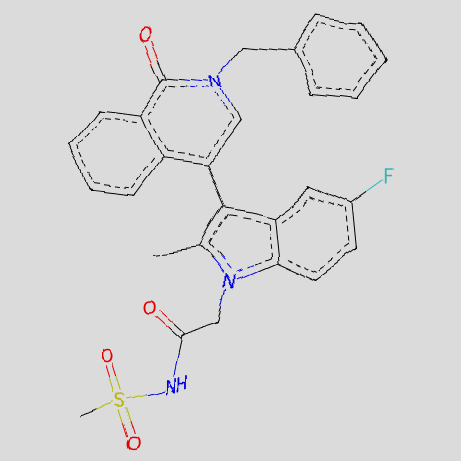 Cc1c(-c2cn(Cc3ccccc3)c(=O)c3ccccc23)c2cc(F)ccc2n1CC(=O)NS(C)(=O)=O